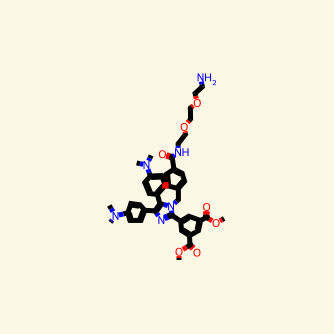 COC(=O)c1cc(C(=O)OC)cc(-c2nc(-c3ccc(N(C)C)cc3)c(-c3ccc(N(C)C)cc3)n2Cc2ccc(C(=O)NCCOCCOCCN)cc2)c1